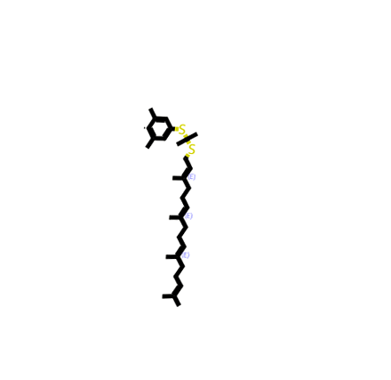 CC(C)=CCC/C(C)=C/CC/C(C)=C/CC/C(C)=C/CSC(C)(C)Sc1cc(C)[c]c(C)c1